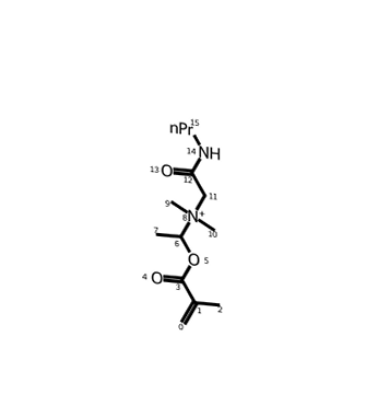 C=C(C)C(=O)OC(C)[N+](C)(C)CC(=O)NCCC